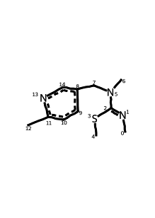 CN=C(SC)N(C)Cc1ccc(C)nc1